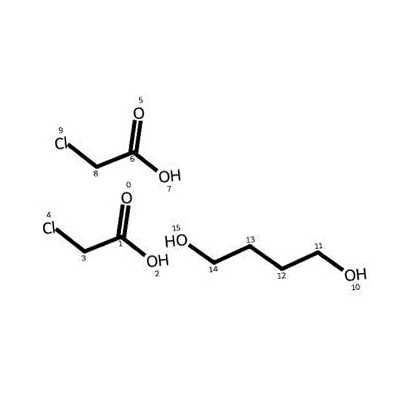 O=C(O)CCl.O=C(O)CCl.OCCCCO